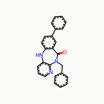 O=C1c2cc(-c3ccccc3)ccc2Nc2cccnc2N1Cc1ccccc1